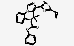 CC1(C)c2c(-c3noc(C4CC4)n3)ncn2-c2ccccc2N1C(=O)Oc1ccccc1